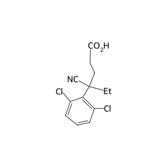 CCC(C#N)(CCC(=O)O)c1c(Cl)cccc1Cl